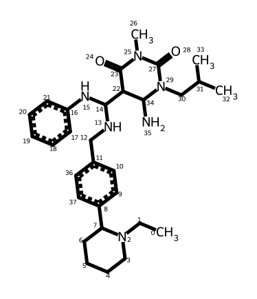 CCN1CCCCC1c1ccc(CNC(Nc2ccccc2)C2C(=O)N(C)C(=O)N(CC(C)C)C2N)cc1